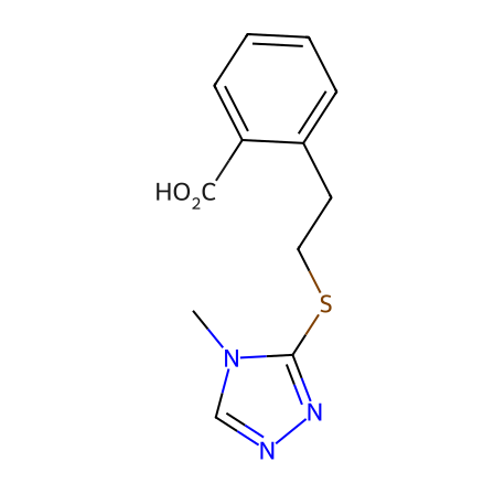 Cn1cnnc1SCCc1ccccc1C(=O)O